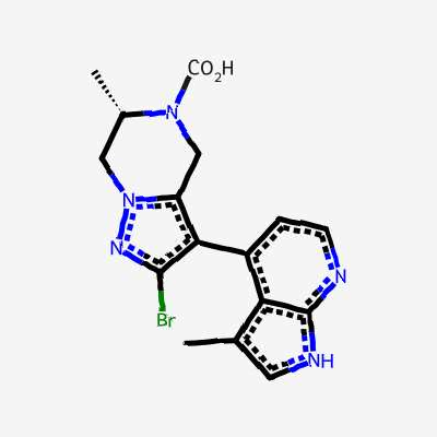 Cc1c[nH]c2nccc(-c3c(Br)nn4c3CN(C(=O)O)[C@@H](C)C4)c12